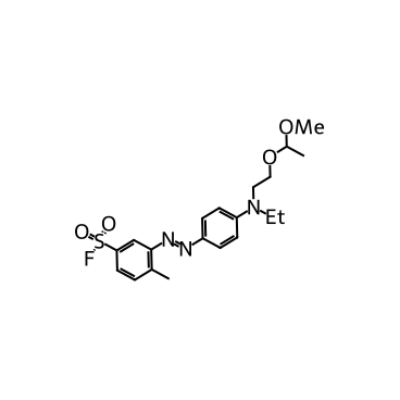 CCN(CCOC(C)OC)c1ccc(N=Nc2cc(S(=O)(=O)F)ccc2C)cc1